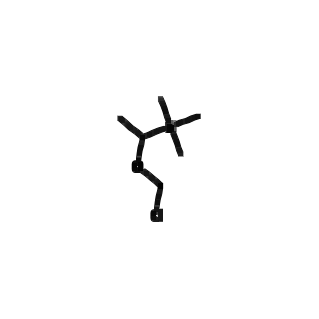 CC(OCCl)[Si](C)(C)C